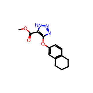 COC(=O)c1[nH]nnc1Oc1ccc2c(c1)CCCC2